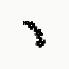 O=C(/C=C/c1ccc(O)cc1)CC(=O)/C=C/c1ccccc1F